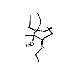 CCN=C(CC)C(C)(O)[Si](CC)(CC)CC